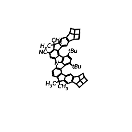 CC(C)(C)c1cc(C(C)(C)C)c2c3c4c(c(C#N)cc3n3c5ccc6c(c5c1c23)-c1cc2c(cc1C6(C)C)C1CC3CC5CC2C531)C(C)(C)c1cc2c(cc1-4)C1CC3CC4CC2C341